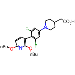 CCCCOc1ccc(-c2c(F)cc(N3CCC(CC(=O)O)CC3)cc2F)c(OCCCC)n1